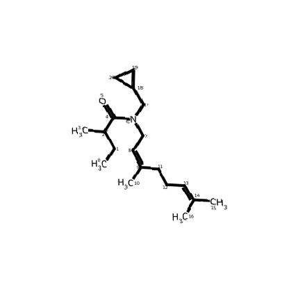 CCC(C)C(=O)N(C/C=C(/C)CCC=C(C)C)CC1CC1